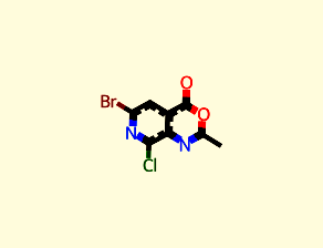 Cc1nc2c(Cl)nc(Br)cc2c(=O)o1